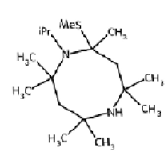 CSC1(C)CC(C)(C)NC(C)(C)CC(C)(C)N1C(C)C